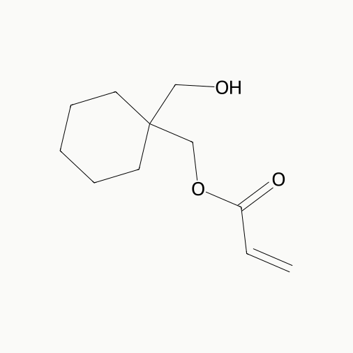 C=CC(=O)OCC1(CO)CCCCC1